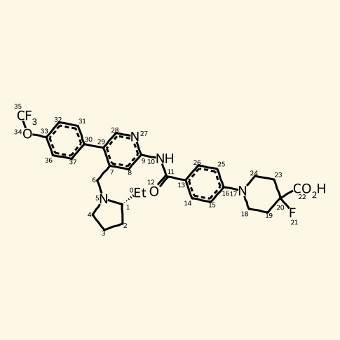 CC[C@@H]1CCCN1Cc1cc(NC(=O)c2ccc(N3CCC(F)(C(=O)O)CC3)cc2)ncc1-c1ccc(OC(F)(F)F)cc1